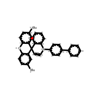 CC(C)(C)c1ccc2c(c1)C1(c3cc(C(C)(C)C)ccc3O2)c2ccccc2N(c2ccc(-c3ccccc3)cc2)c2ccccc21